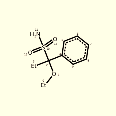 CCOC(CC)(c1ccccc1)S(N)(=O)=O